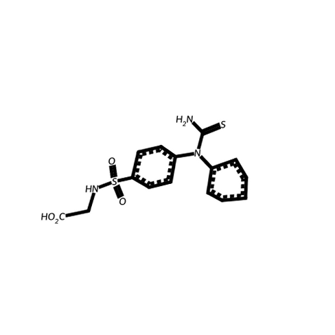 NC(=S)N(c1ccccc1)c1ccc(S(=O)(=O)NCC(=O)O)cc1